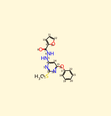 CSc1nc(NNC(=O)c2ccco2)cc(Oc2ccccc2)n1